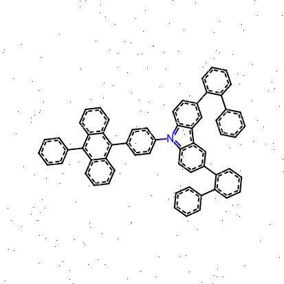 c1ccc(-c2ccccc2-c2ccc3c(c2)c2cc(-c4ccccc4-c4ccccc4)ccc2n3-c2ccc(-c3c4ccccc4c(-c4ccccc4)c4ccccc34)cc2)cc1